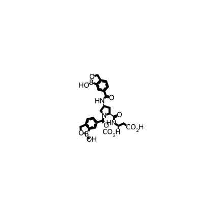 O=C(O)C[C@H](NC(=O)[C@@H]1C[C@@H](NC(=O)c2ccc3c(c2)B(O)OC3)CN1C(=O)c1ccc2c(c1)B(O)OC2)C(=O)O